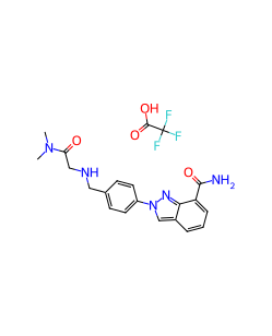 CN(C)C(=O)CNCc1ccc(-n2cc3cccc(C(N)=O)c3n2)cc1.O=C(O)C(F)(F)F